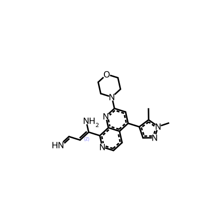 Cc1c(-c2cc(N3CCOCC3)nc3c(/C(N)=C/C=N)nccc23)cnn1C